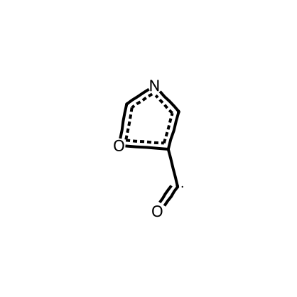 O=[C]c1cnco1